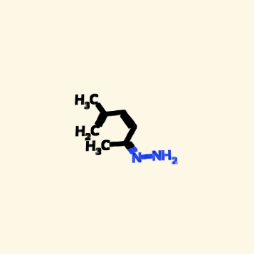 C=C(C)/C=C\C(C)=N/N